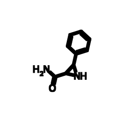 NC(=O)C1NC1c1ccccc1